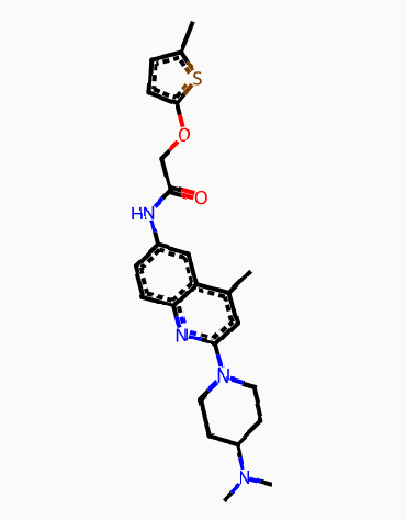 Cc1ccc(OCC(=O)Nc2ccc3nc(N4CCC(N(C)C)CC4)cc(C)c3c2)s1